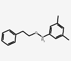 Cc1cc(C)cc([SiH2]OCCc2ccccc2)c1